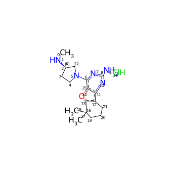 CN[C@@H]1CCN(c2nc(N)nc3c4c(oc23)C(C)(C)CCC4)C1.Cl